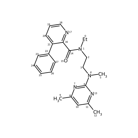 CCN(CCN(C)c1nc(C)cc(C)n1)C(=O)c1ncccc1-c1ccccc1